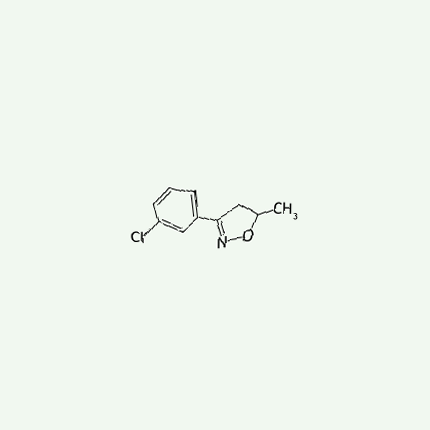 CC1CC(c2cccc(Cl)c2)=NO1